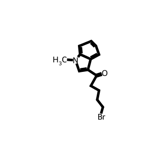 Cn1cc(C(=O)CCCCBr)c2ccccc21